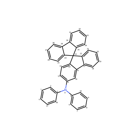 c1ccc(N(c2ccccc2)c2ccc3c(c2)-c2ccccc2C32c3ccccc3-c3ccccc32)cc1